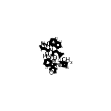 Cn1nccc1C(=O)N[C@H](C(=O)Nc1cccc(C2(C(=O)NCC3(C)CCC3)CCOC2)c1)C(C1CC1)[C@@H]1CCc2ccccc21